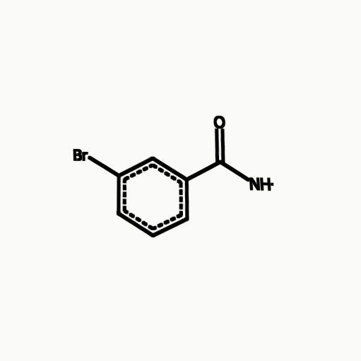 [NH]C(=O)c1cccc(Br)c1